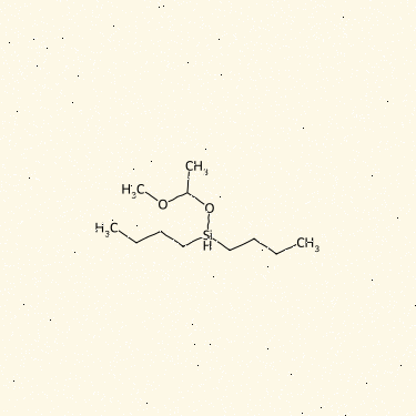 CCCC[SiH](CCCC)OC(C)OC